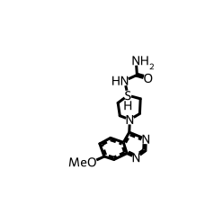 COc1ccc2c(N3CC[SH](NC(N)=O)CC3)ncnc2c1